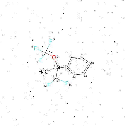 C[Si](OC(F)(F)F)(c1ccccc1)C(F)F